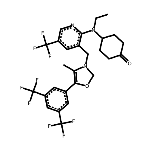 CCN(c1ncc(C(F)(F)F)cc1CN1COC(c2cc(C(F)(F)F)cc(C(F)(F)F)c2)=C1C)C1CCC(=O)CC1